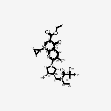 CCOC(=O)c1cn(C2CC2)c2nc(N3C[C@@H](CN(CC)C(=O)C(F)(F)F)[C@@H](F)C3)c(F)cc2c1=O